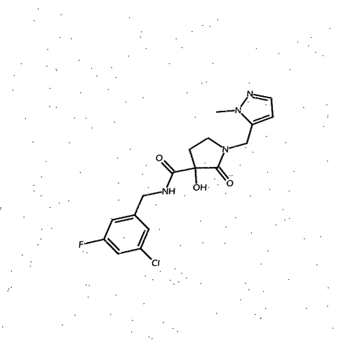 Cn1nccc1CN1CCC(O)(C(=O)NCc2cc(F)cc(Cl)c2)C1=O